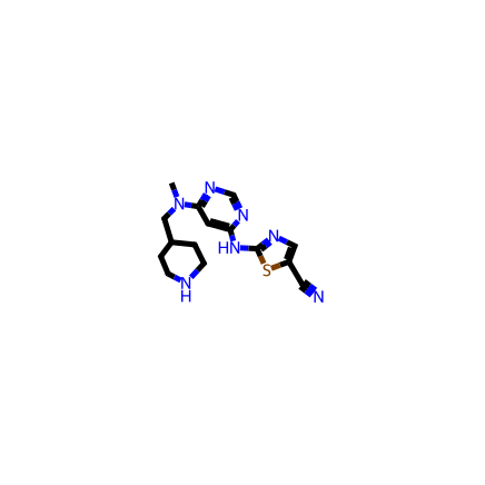 CN(CC1CCNCC1)c1cc(Nc2ncc(C#N)s2)ncn1